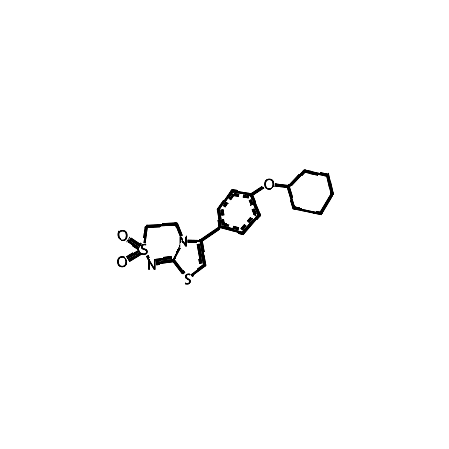 O=S1(=O)CCN2C(c3ccc(OC4CCCCC4)cc3)=CSC2=N1